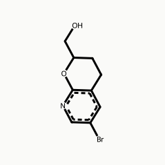 OCC1CCc2cc(Br)cnc2O1